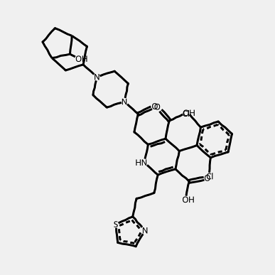 O=C(O)C1=C(CCc2nccs2)NC(CC(=O)N2CCN(C3CC4CCC(C3)C4O)CC2)=C(C(=O)O)C1c1c(Cl)cccc1Cl